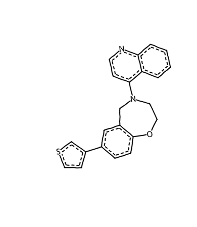 c1ccc2c(N3CCOc4ccc(-c5ccsc5)cc4C3)ccnc2c1